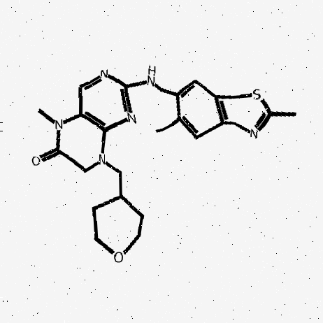 Cc1nc2cc(C)c(Nc3ncc4c(n3)N(CC3CCOCC3)CC(=O)N4C)cc2s1